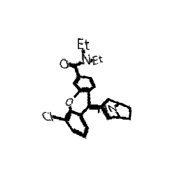 CCN(CC)C(=O)c1ccc2c(c1)Oc1c(Cl)cccc1C2=C1CC2CCC(C1)N2